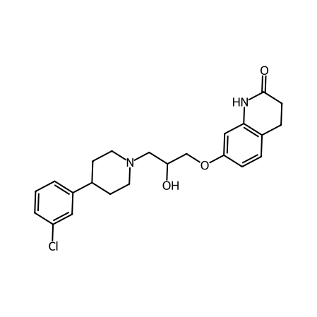 O=C1CCc2ccc(OCC(O)CN3CCC(c4cccc(Cl)c4)CC3)cc2N1